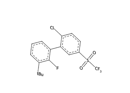 CC(C)(C)c1cccc(-c2cc(S(=O)(=O)C(F)(F)F)ccc2Cl)c1F